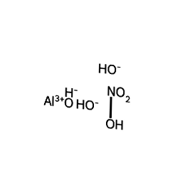 O=[N+]([O-])O.[Al+3].[OH-].[OH-].[OH-]